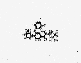 CC[C@@H](NC(=O)c1cn(-c2c(F)cccc2F)c2nc(N3CCC(C)(O)C3)ccc2c1=O)C(F)(F)F